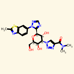 Cc1nc2ccc(-n3ncnc3[C@@H]3O[C@H](CO)[C@H](O)[C@H](n4cc(C(=O)N(C)C)nn4)[C@H]3O)cc2s1